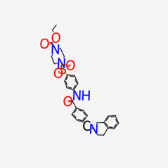 CCOC(=O)N1CCN(S(=O)(=O)c2ccc(NC(=O)c3ccc(CN4CCc5ccccc5C4)cc3)cc2)CC1